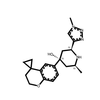 C[C@H]1C[C@@](O)(c2ccc3c(c2)C2(CCO3)CC2)C[C@@H](c2cn(C)nn2)N1